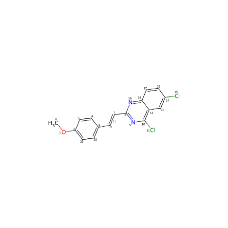 COc1ccc(/C=C/c2nc(Cl)c3cc(Cl)ccc3n2)cc1